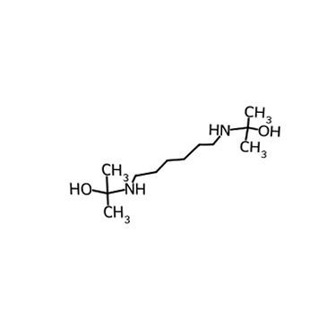 CC(C)(O)NCCCCCCNC(C)(C)O